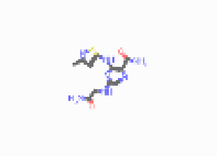 Cc1cc(Nc2nc(NCC(N)=O)cnc2C(N)=O)sn1